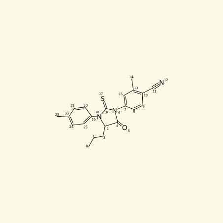 CCCC1C(=O)N(c2ccc(C#N)c(C)c2)C(=S)N1c1ccc(C)cc1